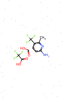 Cc1nc(N)ccc1C(F)(F)F.O=C(O)C(F)(F)F.O=CO